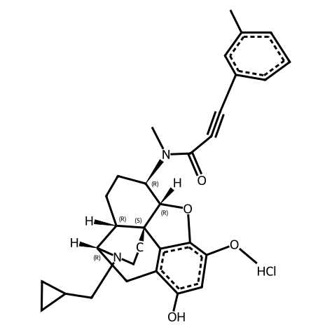 COc1cc(O)c2c3c1O[C@H]1[C@H](N(C)C(=O)C#Cc4cccc(C)c4)CC[C@H]4[C@@H](C2)N(CC2CC2)CC[C@@]341.Cl